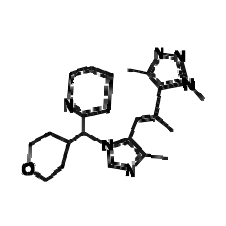 C/C(=C\c1c(C)ncn1C(c1ccccn1)C1CCOCC1)c1c(C)nnn1C